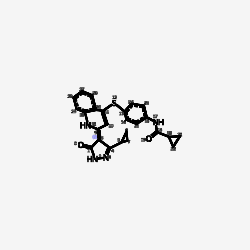 O=C1NN=C(C2CC2)/C1=C1\C=C(Sc2ccc(NC(=O)C3CC3)cc2)c2ccccc2N1